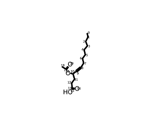 CCCCCCCCC#CC(CCC(=O)O)OC(C)=O